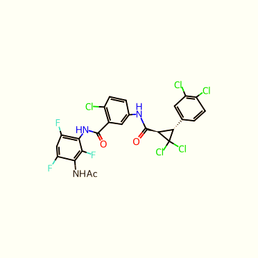 CC(=O)Nc1c(F)cc(F)c(NC(=O)c2cc(NC(=O)[C@H]3[C@H](c4ccc(Cl)c(Cl)c4)C3(Cl)Cl)ccc2Cl)c1F